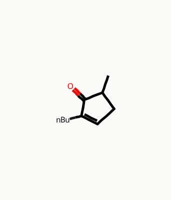 CCCCC1=CCC(C)C1=O